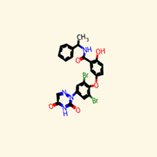 CC(NC(=O)c1cc(Oc2c(Br)cc(-n3ncc(=O)[nH]c3=O)cc2Br)ccc1O)c1ccccc1